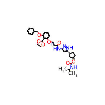 CC(C)NC(=O)O[C@@H]1CC[C@H](c2cc(NC(=O)/C=C/Oc3cccc(OCc4ccccc4)c3C3OCCO3)n[nH]2)C1